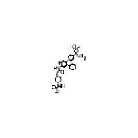 COC(=O)NC1CCC(CC(=O)Nc2cc(-c3ccccc3)c(-c3ccc([C@]4(N)C[C@](C)(O)C4)cc3)cn2)CC1